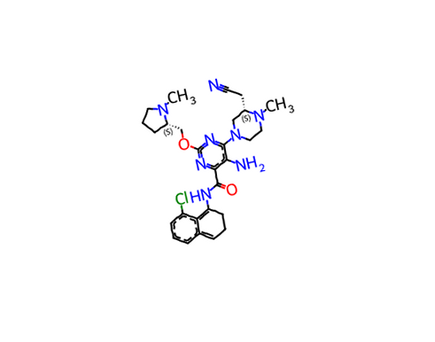 CN1CCC[C@H]1COc1nc(C(=O)NC2=c3c(Cl)cccc3=CCC2)c(N)c(N2CCN(C)[C@@H](CC#N)C2)n1